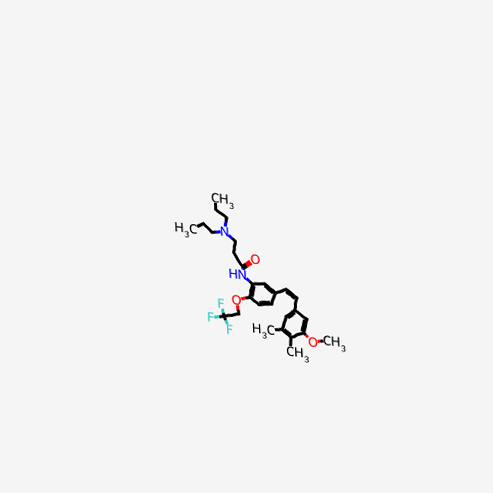 CCCN(CCC)CCC(=O)Nc1cc(/C=C\c2cc(C)c(C)c(OC)c2)ccc1OCC(F)(F)F